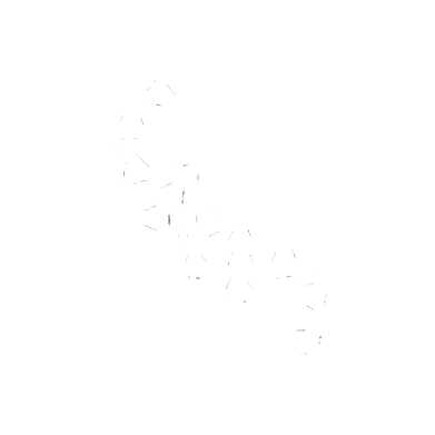 c1ccc(-c2ccc3oc4ccc(-c5c6ccccc6c(-c6cccc7c6oc6cccc(-c8c9ccccc9c(-c9ccc%10oc%11ccc(-c%12ccccc%12)cc%11c%10c9)c9ccccc89)c67)c6ccccc56)cc4c3c2)cc1